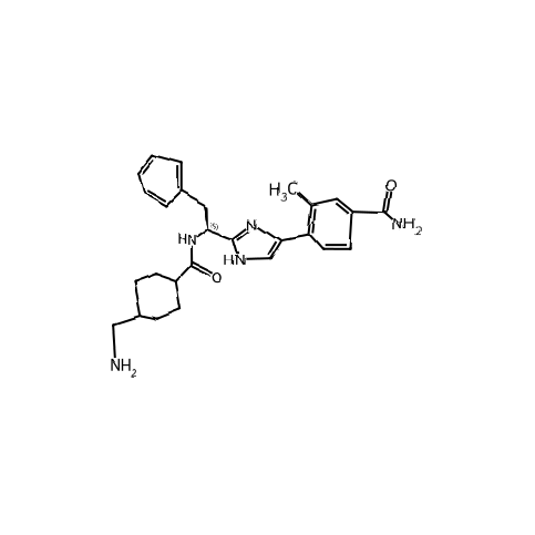 Cc1cc(C(N)=O)ccc1-c1c[nH]c([C@H](Cc2ccccc2)NC(=O)C2CCC(CN)CC2)n1